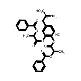 CC(OC(=O)c1ccccc1)C(=O)Oc1ccc(C[C@H](N)C(=O)O)cc1OC(=O)C(C)OC(=O)c1ccccc1.Cl